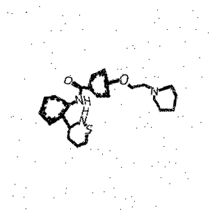 O=C(Nc1ccccc1C1CCCSN1)c1ccc(OCCN2CCCCC2)cc1